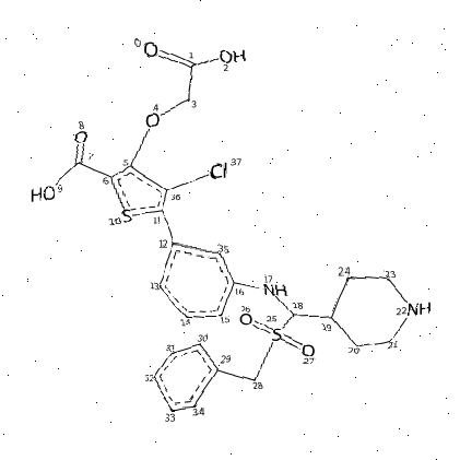 O=C(O)COc1c(C(=O)O)sc(-c2cccc(NC(C3CCNCC3)S(=O)(=O)Cc3ccccc3)c2)c1Cl